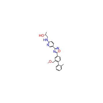 COCc1cc(-c2nc(-c3ccc(NCC(C)O)nc3)no2)ccc1-c1ccccc1C